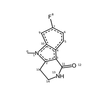 Cn1c2c(c3ccc(F)cc31)C(=O)NCC2